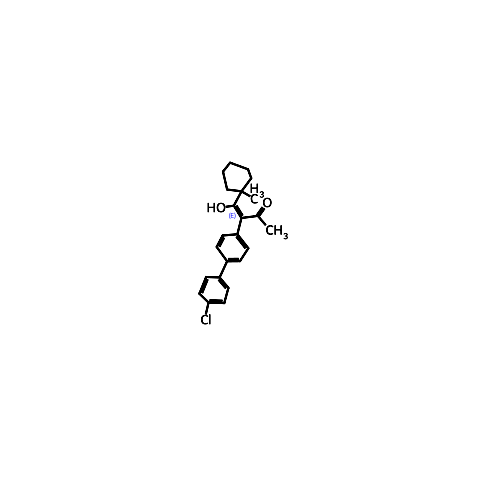 CC(=O)/C(=C(/O)C1(C)CCCCC1)c1ccc(-c2ccc(Cl)cc2)cc1